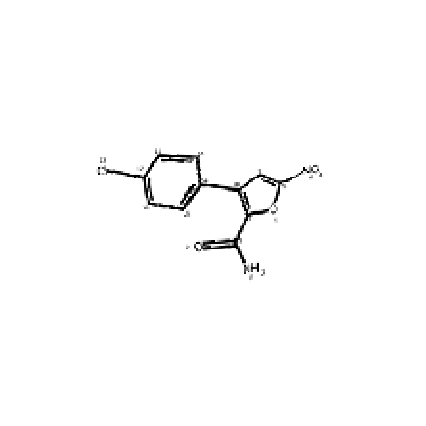 NC(=O)c1oc([N+](=O)[O-])cc1-c1ccc(Cl)cc1